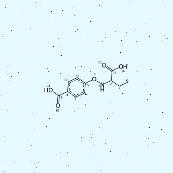 CCC(NOc1ccc(C(=O)O)cc1)C(=O)O